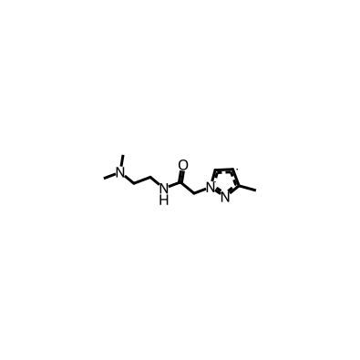 Cc1[c]cn(CC(=O)NCCN(C)C)n1